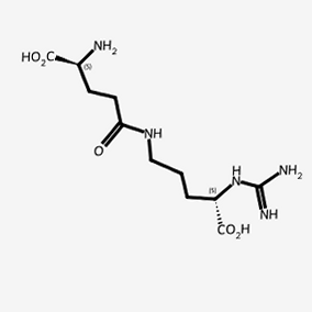 N=C(N)N[C@@H](CCCNC(=O)CC[C@H](N)C(=O)O)C(=O)O